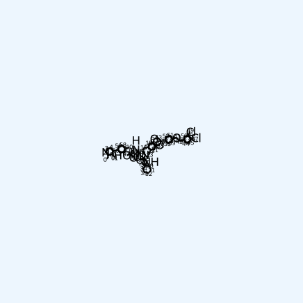 Cc1nccc(-c2ccc(C[C@H](NC(=O)[C@@H]3Cc4cc5c(cc4CN3C(=O)NC3(C)CCCCC3)O[C@@H](c3ccc(OCc4ccc(Cl)c(Cl)c4)cc3)CO5)C(=O)O)cc2)c1C